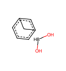 OBO.c1cc2cc(c1)C2